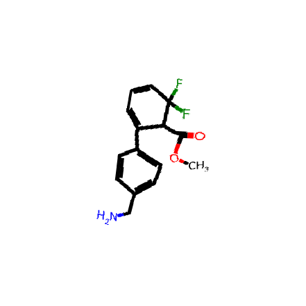 COC(=O)C1C(c2ccc(CN)cc2)=CC=CC1(F)F